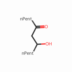 [CH2]CCCCC(=O)CC(O)CCCCC